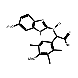 COc1ccc2nc([S+]([O-])C(C(N)=O)c3cc(C)c(OC)c(C)c3C)[nH]c2c1